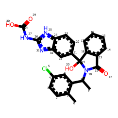 Cc1ccc(Cl)cc1C(C)N1C(=O)c2ccccc2C1(O)c1ccc2[nH]c(NC(=O)O)nc2c1